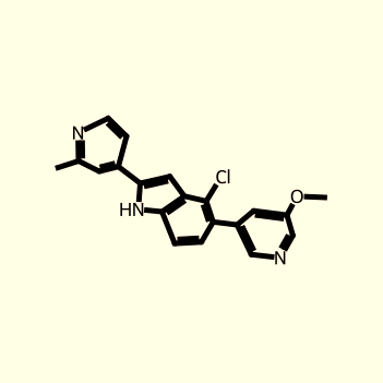 COc1cncc(-c2ccc3[nH]c(-c4ccnc(C)c4)cc3c2Cl)c1